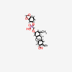 Cc1cc(OCP(=O)(O)Oc2ccc3c(c2)OCO3)cc(C)c1Cc1ccc(O)c(C(C)C)c1